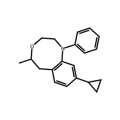 CC1Cc2ccc(C3CC3)cc2N(c2ccccc2)CCO1